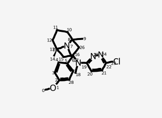 COc1ccc(CN2C3(C)CCC[C@@]2(C)CC(N(C)c2ccc(Cl)nn2)C3)cc1